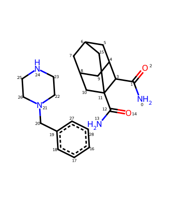 NC(=O)C1C2CC3CC(C2)CC1(C(N)=O)C3.c1ccc(CN2CCNCC2)cc1